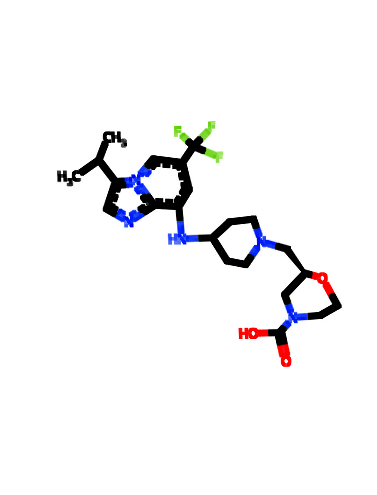 CC(C)c1cnc2c(NC3CCN(C[C@@H]4CN(C(=O)O)CCO4)CC3)cc(C(F)(F)F)cn12